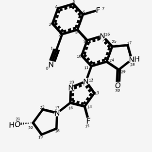 N#Cc1cccc(F)c1-c1cc(-n2cc(F)c(N3CC[C@H](O)C3)n2)c2c(n1)CNC2=O